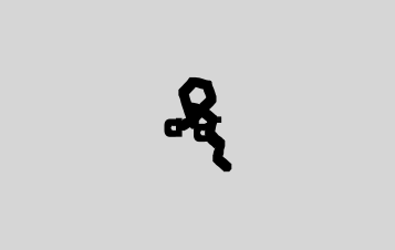 CCC=C[CH]C12CCCCC1C2(Cl)Cl